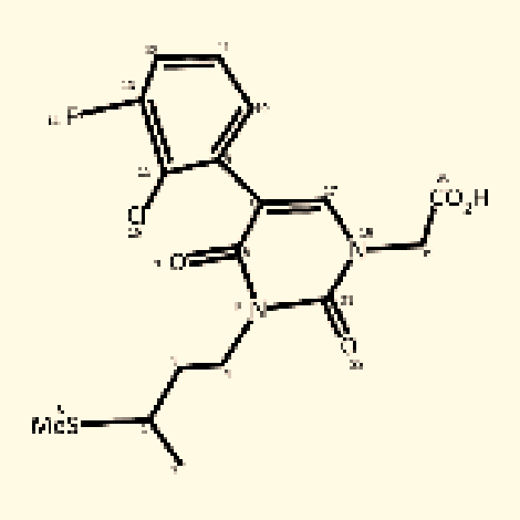 CSC(C)CCn1c(=O)c(-c2cccc(F)c2Cl)cn(CC(=O)O)c1=O